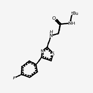 CC(C)(C)NC(=O)CNc1nc(-c2ccc(F)cc2)cs1